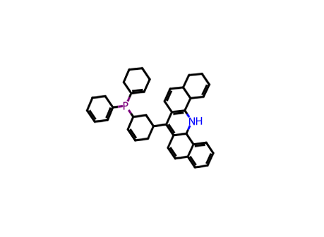 C1=CCCC(P(C2=CCCCC2)C2C=CCC(C3=C4C=Cc5ccccc5C4NC4=C3C=CC3CCC=CC43)C2)=C1